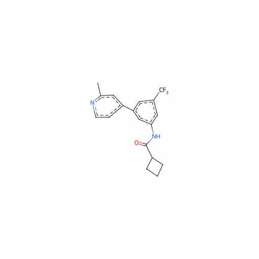 Cc1cc(-c2cc(NC(=O)C3CCC3)cc(C(F)(F)F)c2)ccn1